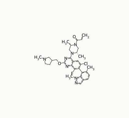 C=CC(=O)N1C[C@H](C)N(c2nc(OCC3CCN(C)C3)nc3c(F)c(-c4c(C)ccc5cnn(C)c45)c(Cl)cc23)C[C@H]1C